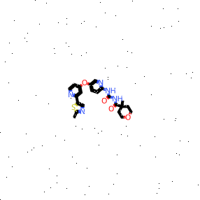 Cc1ncc(-c2cc(Oc3ccc(NC(=O)NC(=O)C4(C)CCOCC4)nc3)ccn2)s1